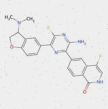 CN(C)C1COc2ccc(-c3nc(-c4ccc5c(=O)[nH]cc(F)c5c4)c(N)nc3F)cc21